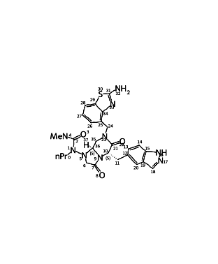 CCCN(C(=O)NC)N1CC(=O)N2[C@@H](Cc3ccc4[nH]ncc4c3)C(=O)N(Cc3cccc4sc(N)nc34)C[C@@H]21